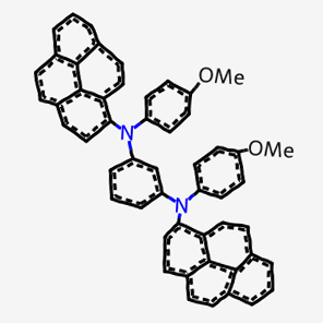 COc1ccc(N(c2cccc(N(c3ccc(OC)cc3)c3ccc4ccc5cccc6ccc3c4c56)c2)c2ccc3ccc4cccc5ccc2c3c45)cc1